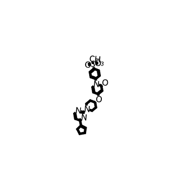 CS(=O)(=O)c1ccc(-n2ccc(OC3CCN(c4nccc(C5=CCCC5)n4)CC3)cc2=O)cc1